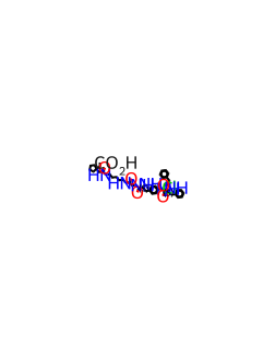 N[C@@H](Cc1ccc(NC(=O)[C@H](Cc2ccccc2Cl)NC(=O)Cc2ccccc2)cc1)C(=O)NCC(=O)NCCCCCNC(=O)CC1(CC(=O)O)CCCC1